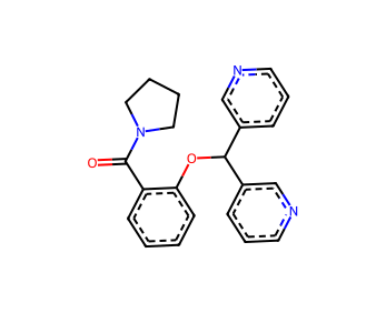 O=C(c1ccccc1OC(c1cccnc1)c1cccnc1)N1CCCC1